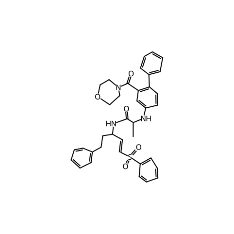 CC(Nc1ccc(-c2ccccc2)c(C(=O)N2CCOCC2)c1)C(=O)NC(C=CS(=O)(=O)c1ccccc1)CCc1ccccc1